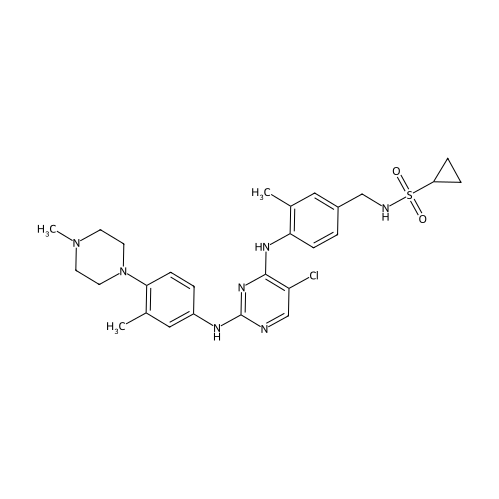 Cc1cc(CNS(=O)(=O)C2CC2)ccc1Nc1nc(Nc2ccc(N3CCN(C)CC3)c(C)c2)ncc1Cl